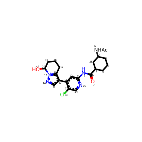 CC(=O)NC1CCCC(C(=O)Nc2cc(-c3cnn4c3CCCC4O)c(Cl)cn2)C1